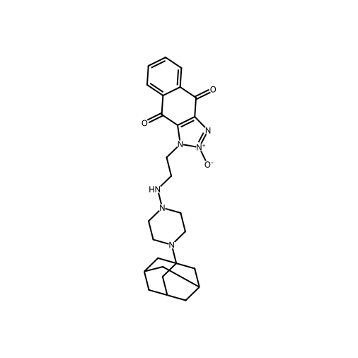 O=C1c2ccccc2C(=O)c2c1n[n+]([O-])n2CCNN1CCN(C23CC4CC(CC(C4)C2)C3)CC1